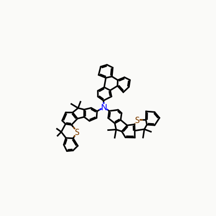 CC1(C)c2ccccc2Sc2c1ccc1c2-c2ccc(N(c3ccc4c(c3)C(C)(C)c3ccc5c(c3-4)Sc3ccccc3C5(C)C)c3ccc4c5ccccc5c5ccccc5c4c3)cc2C1(C)C